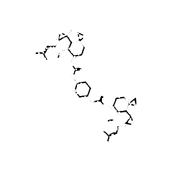 CO[C@@H]1[C@H](OC(=O)N[C@H]2CC[C@H](NC(=O)O[C@@H]3CC[C@]4(CO4)[C@@H]([C@@]4(C)O[C@@H]4CC=C(C)C)[C@@H]3OC)CC2)CC[C@]2(CO2)[C@H]1[C@@]1(C)O[C@@H]1CC=C(C)C